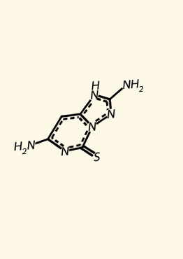 Nc1cc2[nH]c(N)nn2c(=S)n1